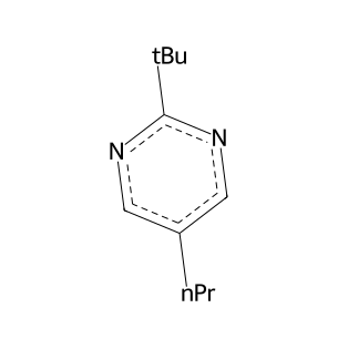 CCCc1cnc(C(C)(C)C)nc1